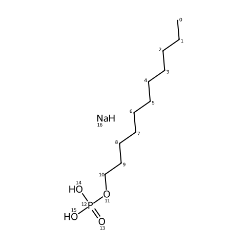 CCCCCCCCCCCOP(=O)(O)O.[NaH]